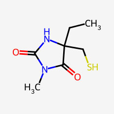 CCC1(CS)NC(=O)N(C)C1=O